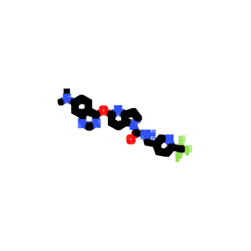 CN(C)c1ccc2c(Oc3ccc4c(ccn4C(=O)NCc4ccc(C(F)(F)F)nc4)n3)ncnc2c1